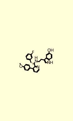 COc1ccc(-c2cccnc2[C@H](Cc2cccc(F)c2)NCCc2c[nH]c3ccc(O)cc23)cc1